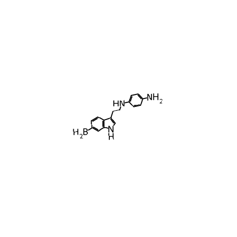 Bc1ccc2c(CCNc3ccc(N)cc3)c[nH]c2c1